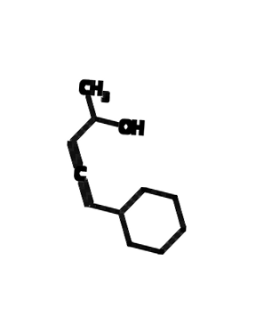 CC(O)C=C=CC1CCCCC1